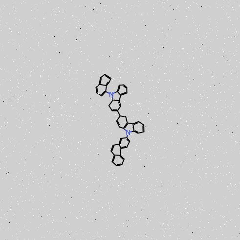 C1=CC(C2=CCC3C(=C2)c2ccccc2N3c2cccc3ccccc23)Cc2c1n(-c1ccc3c(ccc4ccccc43)c1)c1ccccc21